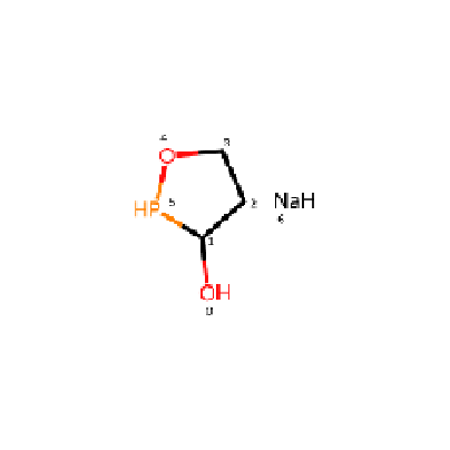 OC1CCOP1.[NaH]